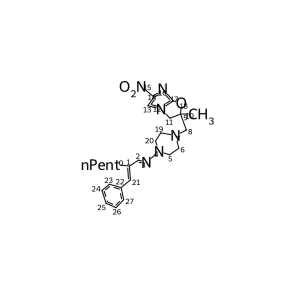 CCCCCC(C=NN1CCN(CC2(C)Cn3cc([N+](=O)[O-])nc3O2)CC1)=Cc1ccccc1